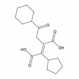 O=C(O)/C(CC(=O)C1CCCCC1)=C(/C(=O)O)C1CCCC1